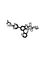 CCNC(=O)Nc1nc2cc(-c3cnc(NCC(C)C)nc3)cc(-c3ncccc3F)c2[nH]1